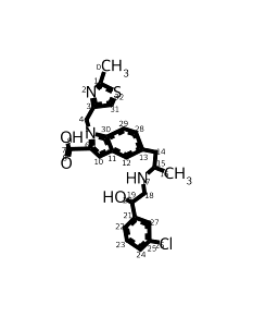 Cc1nc(Cn2c(C(=O)O)cc3cc(CC(C)NCC(O)c4cccc(Cl)c4)ccc32)cs1